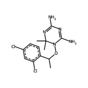 CC(ON1C(N)=NC(N)=NC1(C)C)c1ccc(Cl)cc1Cl